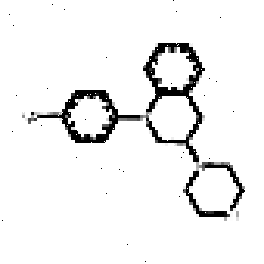 FC(F)(F)c1ccc(N2CC(N3CCNCC3)Cc3ccccc32)cc1